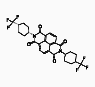 O=C1c2ccc3c4c(ccc(c24)C(=O)N1C1CCC(C(F)(F)F)CC1)C(=O)N([C@H]1CC[C@@H](C(F)(F)F)CC1)C3=O